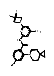 Cc1cc(NC(=O)c2ccc(Br)cc2N2CCC3(CC2)CC3)nc(N2CC(F)(F)C2)c1